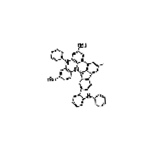 Cc1cc2c3c(c1)-c1cc(C(C)(C)C)cc4c1N(B3c1cc3c5ccccc5n(-c5ccccc5)c3cc1-2)c1ccc(C(C)(C)C)cc1N4c1ccccc1